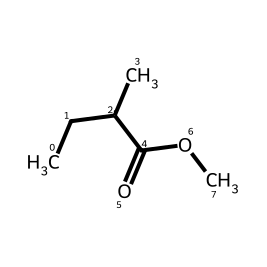 CC[C](C)C(=O)OC